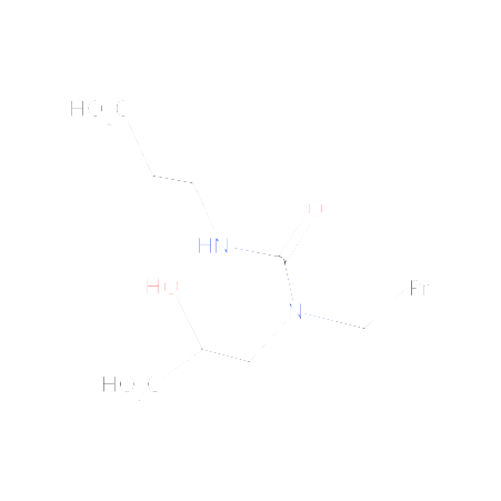 CC(C)CN(CC(O)C(=O)O)C(=O)NCCC(=O)O